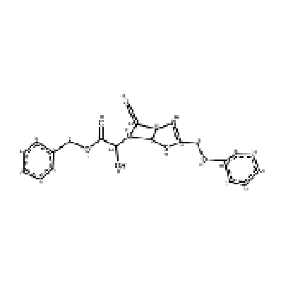 O=C(OCc1ccccc1)C(O)N1C(=O)C2N=C(COc3ccccc3)SC21